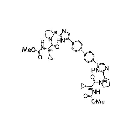 COC(=O)N[C@@H](C(=O)N1CCC[C@@H]1c1ncc(-c2ccc(-c3ccc(-c4cnc([C@H]5CCCN5C(=O)[C@H](NC(=O)OC)C5CC5)[nH]4)cc3)cc2)[nH]1)C1CC1